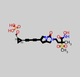 CC(CCN1Cc2cc(C#CC#C[C@H]3C[C@@H]3COP(=O)(O)O)cn2C1=O)(C(=O)NO)S(C)(=O)=O